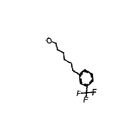 [O]CCCCCCc1cccc(C(F)(F)F)c1